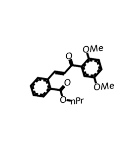 CCCOC(=O)c1ccccc1/C=C/C(=O)c1cc(OC)ccc1OC